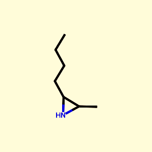 CCCCC1NC1C